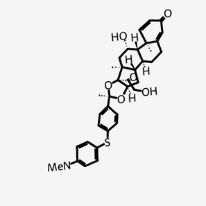 CNc1ccc(Sc2ccc([C@]3(C)O[C@@H]4C[C@H]5[C@@H]6CCC7=CC(=O)C=C[C@]7(C)[C@H]6[C@@H](O)C[C@]5(C)[C@]4(C(=O)CO)O3)cc2)cc1